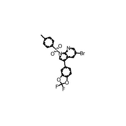 Cc1ccc(S(=O)(=O)n2cc(-c3ccc4c(c3)OC(F)(F)O4)c3cc(Br)cnc32)cc1